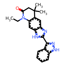 CCN1C(=O)CC(C)(C)c2cc3nc(-c4n[nH]c5ccccc45)[nH]c3cc21